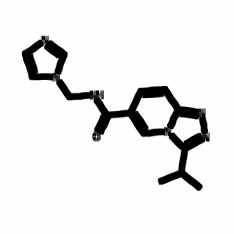 CC(C)c1nnc2ccc(C(=O)NCn3ccnc3)cn12